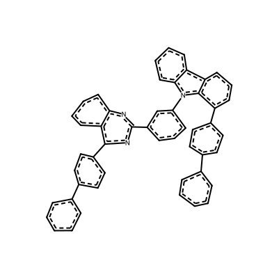 c1ccc(-c2ccc(-c3nc(-c4cccc(-n5c6ccccc6c6cccc(-c7ccc(-c8ccccc8)cc7)c65)c4)nc4ccccc34)cc2)cc1